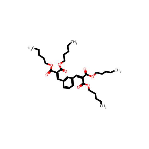 CCCCCOC(=O)C(=Cc1c[c]cc(C=C(C(=O)OCCCCC)C(=O)OCCCCC)c1)C(=O)OCCCCC